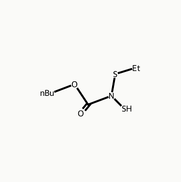 CCCCOC(=O)N(S)SCC